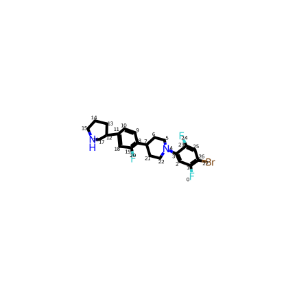 Fc1cc(N2CCC(c3ccc(C4CCCNC4)cc3F)CC2)c(F)cc1Br